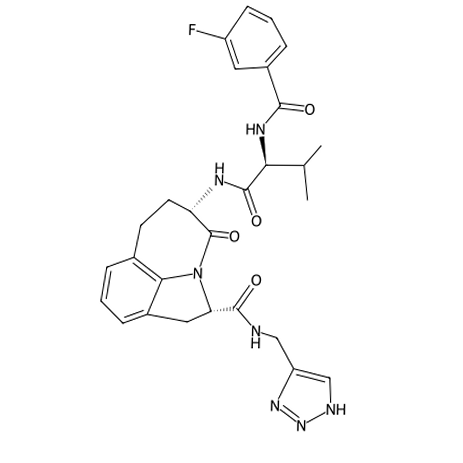 CC(C)[C@H](NC(=O)c1cccc(F)c1)C(=O)N[C@H]1CCc2cccc3c2N(C1=O)[C@H](C(=O)NCc1c[nH]nn1)C3